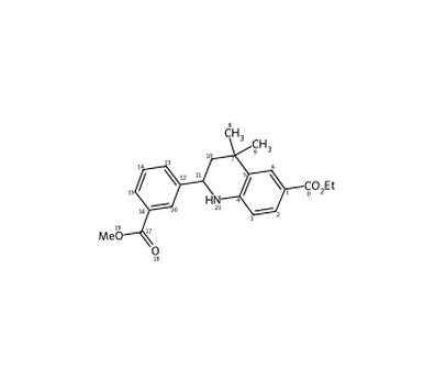 CCOC(=O)c1ccc2c(c1)C(C)(C)CC(c1cccc(C(=O)OC)c1)N2